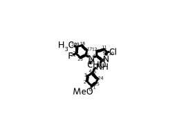 COc1ccc(CNc2nc(Cl)ccc2N(C=O)c2ccc(C)c(F)c2)cc1